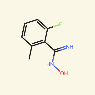 Cc1cccc(F)c1C(=N)NO